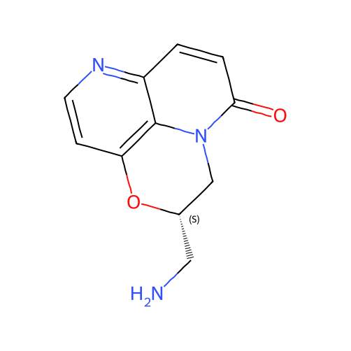 NC[C@H]1Cn2c(=O)ccc3nccc(c32)O1